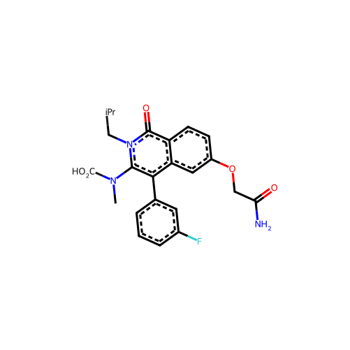 CC(C)Cn1c(N(C)C(=O)O)c(-c2cccc(F)c2)c2cc(OCC(N)=O)ccc2c1=O